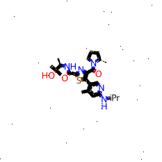 Cc1cc(NC(C)C)ncc1-c1sc(C(=O)N[C@H](C)C(C)(C)O)nc1C(=O)N1CCC[C@@H]1C